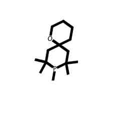 CP1C(C)(C)CC2(CCCCO2)CC1(C)C